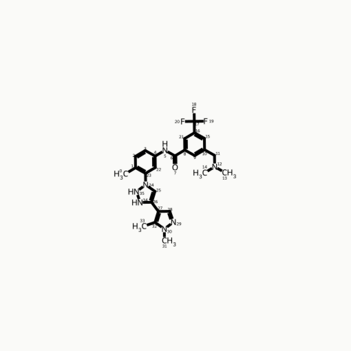 Cc1ccc(NC(=O)c2cc(CN(C)C)cc(C(F)(F)F)c2)cc1N1C=C(c2cnn(C)c2C)NN1